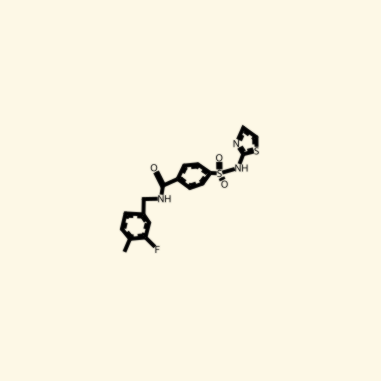 Cc1ccc(CNC(=O)c2ccc(S(=O)(=O)Nc3nccs3)cc2)cc1F